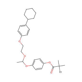 CCC(C)(C)C(=O)Oc1ccc(OC(C)OCCOc2ccc(C3CCCCC3)cc2)cc1